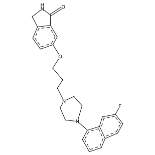 O=C1NCc2ccc(OCCCN3CCN(c4cccc5ccc(F)cc45)CC3)cc21